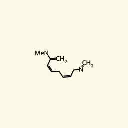 C=NC/C=C\C/C=C\C(=C)NC